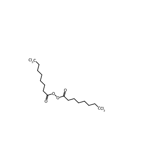 O=C(CCCCCCC(Cl)(Cl)Cl)OOC(=O)CCCCCCC(Cl)(Cl)Cl